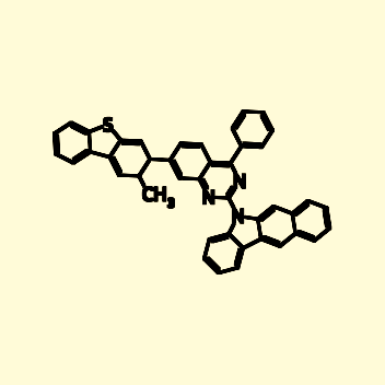 CC1C=c2c(sc3ccccc23)=CC1c1ccc2c(-c3ccccc3)nc(-n3c4ccccc4c4cc5ccccc5cc43)nc2c1